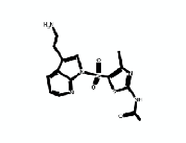 CC(=O)Nc1nc(C)c(S(=O)(=O)n2cc(CCN)c3cccnc32)s1